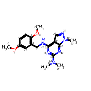 COc1ccc(OC)c(CNc2nc(N(C)C)nc3c2cnn3C)c1